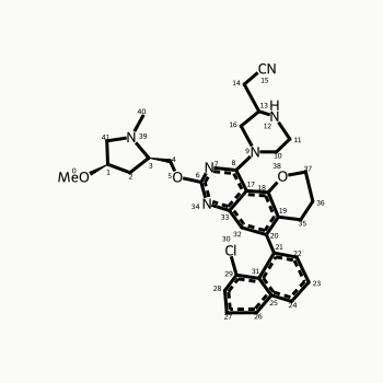 CO[C@@H]1C[C@H](COc2nc(N3CCNC(CC#N)C3)c3c4c(c(-c5cccc6cccc(Cl)c56)cc3n2)CCCO4)N(C)C1